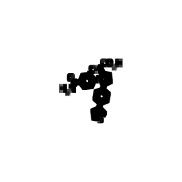 Cc1cc(C(N)=O)ccc1-n1c(CC(=O)O)ccc1-c1ccc(-c2ccsc2)cc1